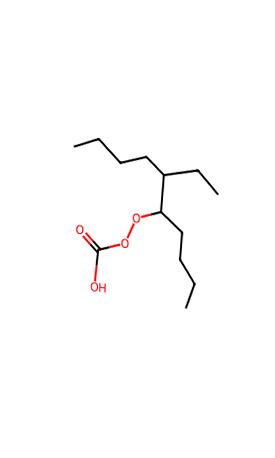 CCCCC(CC)C(CCCC)OOC(=O)O